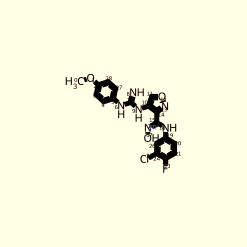 COc1ccc(NC(=N)Nc2conc2/C(=N/O)Nc2ccc(F)c(Cl)c2)cc1